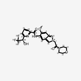 COc1cc2nn(CC(=O)N3CCOCC3)cc2cc1NC(=O)c1cccc([C@@H](O)C(F)(F)F)n1